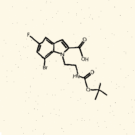 CC(C)(C)OC(=O)NCCn1c(C(=O)O)cc2cc(F)cc(Br)c21